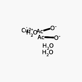 CC(=O)[O-].CC(=O)[O-].O.O.O.[Cu+2]